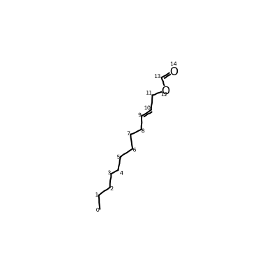 CCCCCCCCC/C=C/COC=O